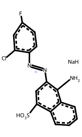 Nc1c(/N=N/c2ccc(F)cc2Cl)cc(S(=O)(=O)O)c2ccccc12.[NaH]